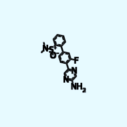 CN(C)[S+]([O-])c1ccccc1-c1ccc(-c2cnc(N)cn2)c(F)c1